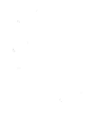 COc1ncccc1COc1ccc2oc(C)c(C(N)=O)c2c1C(C)(C)C(N)=O